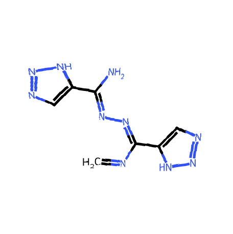 C=N/C(=N\N=C(/N)c1cnn[nH]1)c1cnn[nH]1